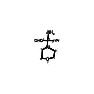 CCCC(N)(C=O)N1CCOCC1